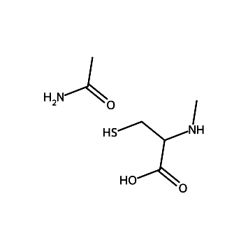 CC(N)=O.CNC(CS)C(=O)O